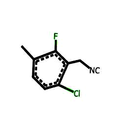 [C-]#[N+]Cc1c(Cl)ccc(C)c1F